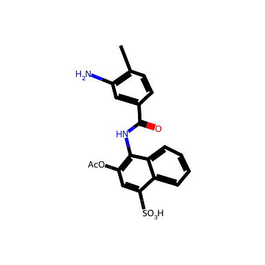 CC(=O)Oc1cc(S(=O)(=O)O)c2ccccc2c1NC(=O)c1ccc(C)c(N)c1